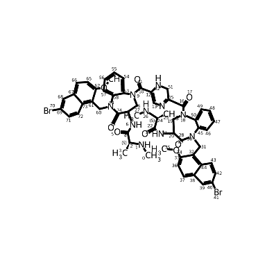 CN[C@@H](C)C(=O)NC1CN(C(=O)C2=CN=C(C(=O)N3CC(NC(=O)[C@H](C)NC)C(=O)N(Cc4c(OC)ccc5cc(Br)ccc45)c4ccccc43)CN2)c2ccccc2N(Cc2c(OC)ccc3cc(Br)ccc23)C1=O